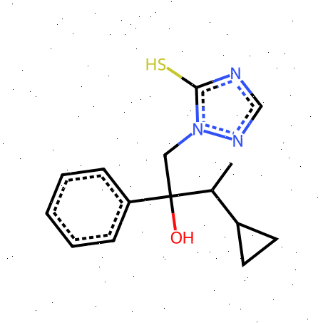 CC(C1CC1)C(O)(Cn1ncnc1S)c1ccccc1